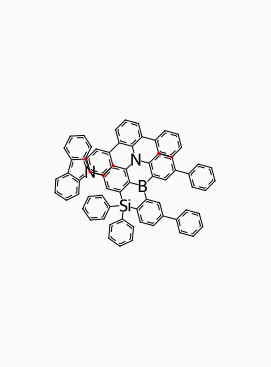 c1ccc(-c2ccc3c(c2)B2c4cc(-c5ccccc5)ccc4[Si](c4ccccc4)(c4ccccc4)c4cc(-n5c6ccccc6c6ccccc65)cc(c42)N3c2c(-c3ccccc3)cccc2-c2ccccc2)cc1